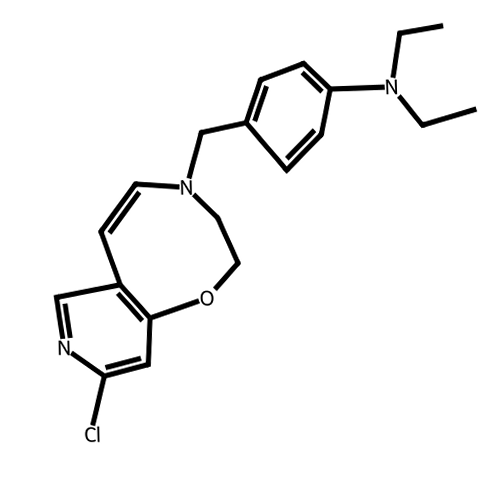 CCN(CC)c1ccc(CN2/C=C\c3cnc(Cl)cc3OCC2)cc1